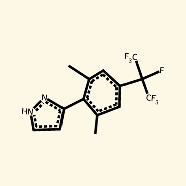 Cc1cc(C(F)(C(F)(F)F)C(F)(F)F)cc(C)c1-c1cc[nH]n1